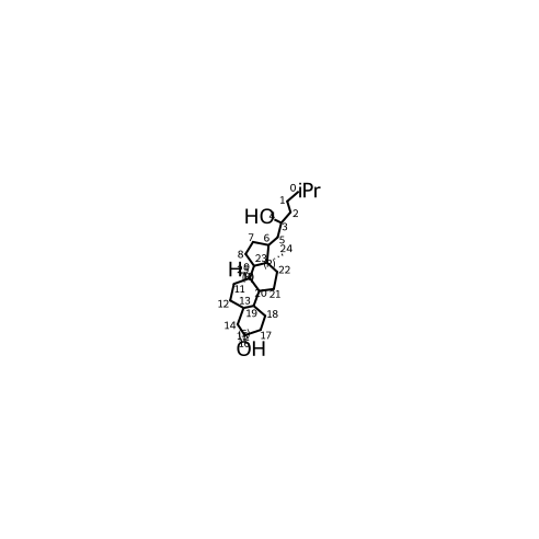 CC(C)CCC(O)CC1CCC2[C@@H]3CCC4C[C@@H](O)CCC4C3CC[C@]12C